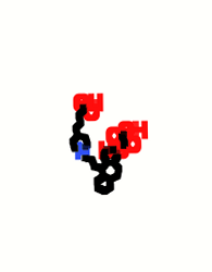 O=C(O)C(=O)O.O=C(O)CCCC1CCN(CCC=C2c3ccccc3CCc3ccccc32)CC1